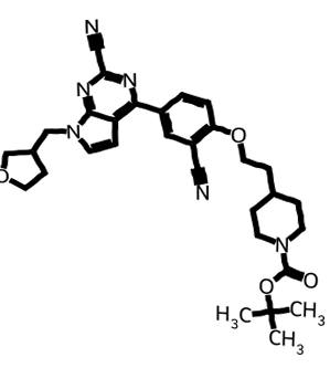 CC(C)(C)OC(=O)N1CCC(CCOc2ccc(-c3nc(C#N)nc4c3ccn4CC3CCOC3)cc2C#N)CC1